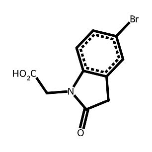 O=C(O)CN1C(=O)Cc2cc(Br)ccc21